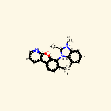 Cc1ccc2c(oc3ncccc32)c1N1c2c(C#N)cccc2N(C)[C@@H]1C